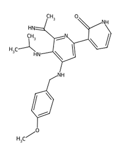 COc1ccc(CNc2cc(-c3ccc[nH]c3=O)nc(C(C)=N)c2NC(C)C)cc1